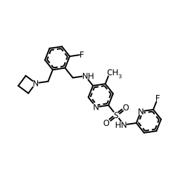 Cc1cc(S(=O)(=O)Nc2cccc(F)n2)ncc1NCc1c(F)cccc1CN1CCC1